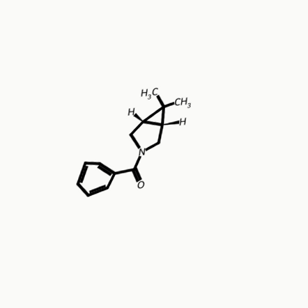 CC1(C)[C@@H]2CN(C(=O)c3ccccc3)C[C@@H]21